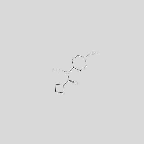 CN(C(=O)C1CCC1)C1CCN(C(C)(C)C)CC1